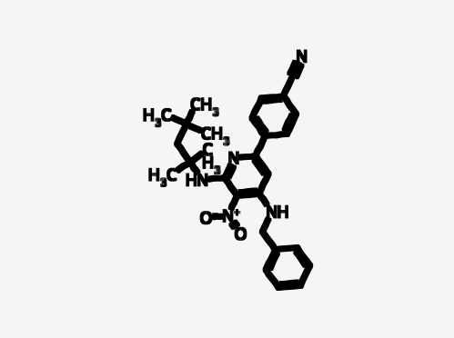 CC(C)(C)CC(C)(C)Nc1nc(-c2ccc(C#N)cc2)cc(NCc2ccccc2)c1[N+](=O)[O-]